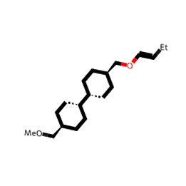 CCC=COC[C@H]1CC[C@H]([C@H]2CC[C@H](COC)CC2)CC1